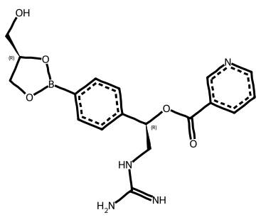 N=C(N)NC[C@H](OC(=O)c1cccnc1)c1ccc(B2OC[C@@H](CO)O2)cc1